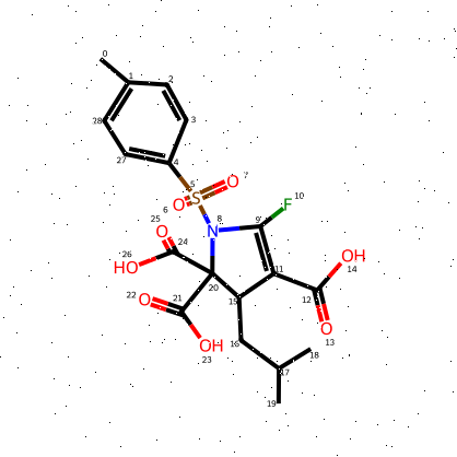 Cc1ccc(S(=O)(=O)N2C(F)=C(C(=O)O)C(CC(C)C)C2(C(=O)O)C(=O)O)cc1